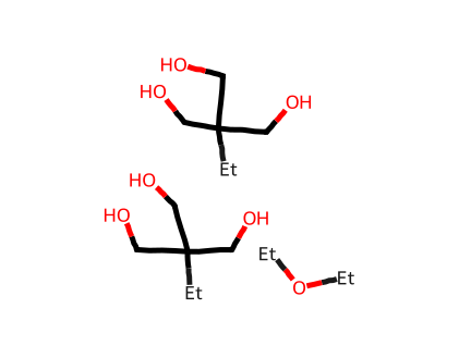 CCC(CO)(CO)CO.CCC(CO)(CO)CO.CCOCC